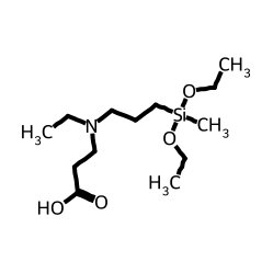 CCO[Si](C)(CCCN(CC)CCC(=O)O)OCC